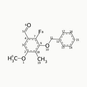 COc1cc(C=O)c(F)c(OCc2ccccc2)c1C